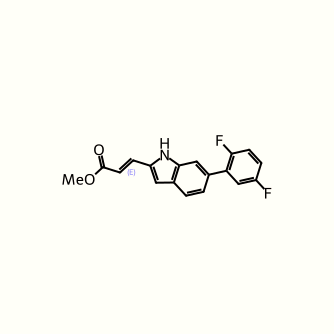 COC(=O)/C=C/c1cc2ccc(-c3cc(F)ccc3F)cc2[nH]1